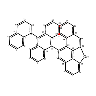 c1ccc2c(-c3c4ccccc4c(-c4cc5cccc6oc7cc8ccccc8c4c7c56)c4ccccc34)cccc2c1